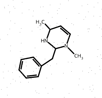 CC1C=CN(C)C(Cc2ccccc2)N1